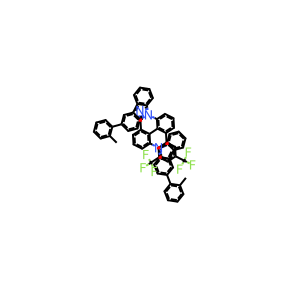 Cc1ccccc1-c1ccc2c(c1)c1ccccc1n2-c1cccc(C#N)c1-c1c(-c2cc(C(F)(F)F)cc(C(F)(F)F)c2)cccc1-n1c2ccccc2c2cc(-c3ccccc3C)ccc21